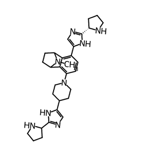 CN1C2CCC1c1c(N3CCC(c4cnc(C5CCCN5)[nH]4)CC3)ccc(-c3cnc([C@@H]4CCCN4)[nH]3)c12